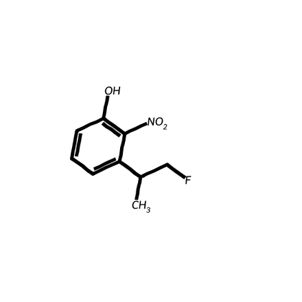 C[C](CF)c1cccc(O)c1[N+](=O)[O-]